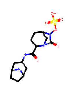 O=C(NC1CC2CCC(C1)N2)C1CCC2CN1C(=O)N2OS(=O)(=O)O